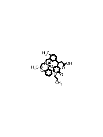 CCCn1ccc(C(CC(=O)O)c2ccc(C)c(CN3C[C@@H](C)Oc4ccccc4S3(=O)=O)c2)cc1=O